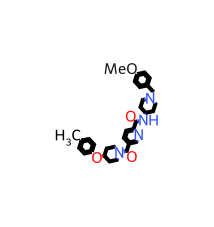 COc1ccc(CN2CCC(NC(=O)c3ccc(C(=O)N4CCC(Oc5ccc(C)cc5)CC4)cn3)CC2)cc1